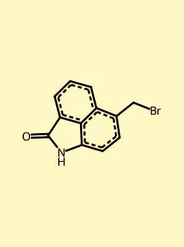 O=C1Nc2ccc(CBr)c3cccc1c23